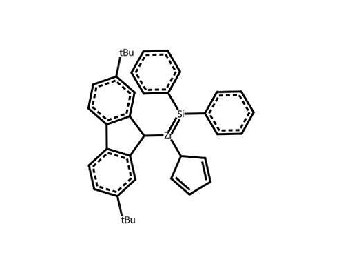 CC(C)(C)c1ccc2c(c1)[CH]([Zr]([CH]1C=CC=C1)=[Si](c1ccccc1)c1ccccc1)c1cc(C(C)(C)C)ccc1-2